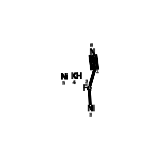 N#[C][Fe][Ni].[KH].[Ni]